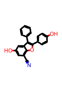 N#Cc1cc(O)cc2c(-c3ccccc3)c(-c3ccc(O)cc3)oc12